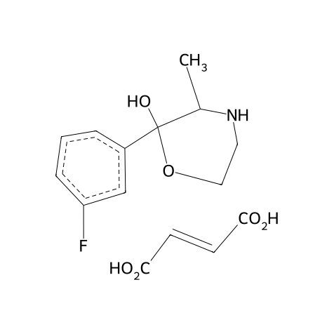 CC1NCCOC1(O)c1cccc(F)c1.O=C(O)/C=C/C(=O)O